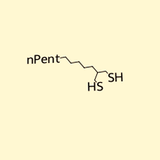 CCCCCCCCCCC(CS)CS